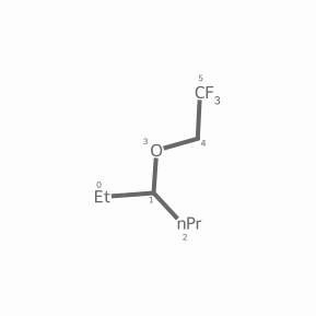 [CH2]CC(CCC)OCC(F)(F)F